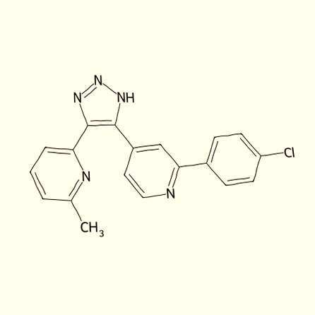 Cc1cccc(-c2nn[nH]c2-c2ccnc(-c3ccc(Cl)cc3)c2)n1